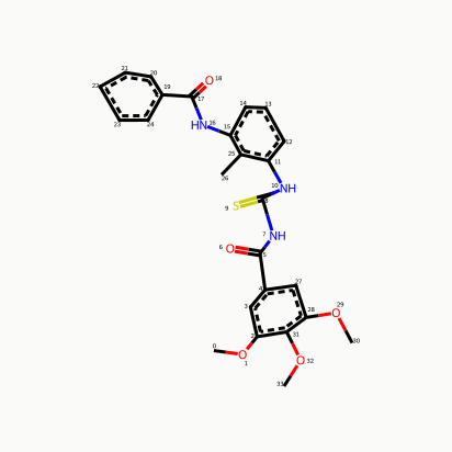 COc1cc(C(=O)NC(=S)Nc2cccc(NC(=O)c3ccccc3)c2C)cc(OC)c1OC